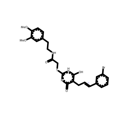 COc1ccc(CCNC(=O)CSc2nc(=O)c(C/C=C/c3cccc(Br)c3)c(O)[nH]2)cc1OC